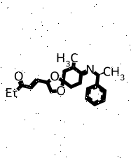 CCC(=O)/C=C/C1COC2(CC/C(=N\[C@H](C)c3ccccc3)C(C)C2)O1